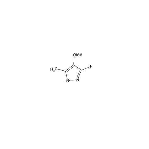 COC1=C(C)[N]N=C1F